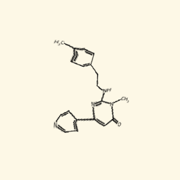 Cc1ccc(CCNc2nc(-c3ccncc3)cc(=O)n2C)cc1